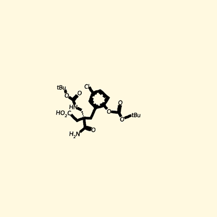 CC(C)(C)OC(=O)NC[C@](CC(=O)O)(Cc1cc(Cl)ccc1OC(=O)OC(C)(C)C)C(N)=O